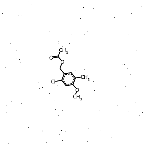 COc1cc(Cl)c(COC(C)=O)cc1C